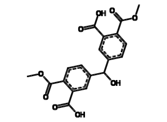 COC(=O)c1ccc(C(O)c2ccc(C(=O)OC)c(C(=O)O)c2)cc1C(=O)O